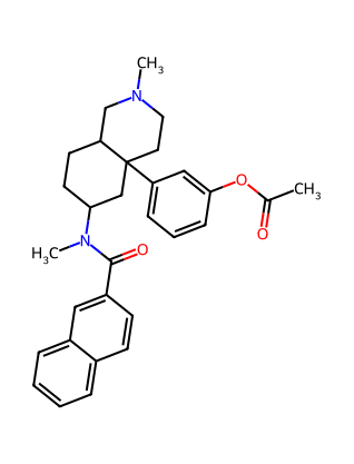 CC(=O)Oc1cccc(C23CCN(C)CC2CCC(N(C)C(=O)c2ccc4ccccc4c2)C3)c1